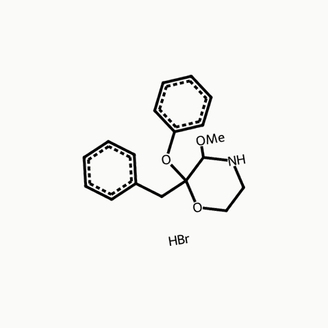 Br.COC1NCCOC1(Cc1ccccc1)Oc1ccccc1